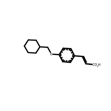 O=C(O)C=Cc1ccc(OCC2CCCCC2)cc1